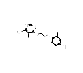 Cc1cc(Cl)ccc1OCCNc1ncnc(Cl)c1C